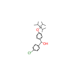 CC(C)[Si](Oc1ccc(C(O)c2ccc(Cl)cc2)cc1)(C(C)C)C(C)C